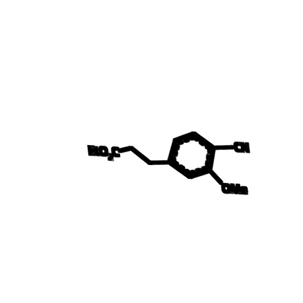 CCOC(=O)CCc1ccc(C#N)c(OC)c1